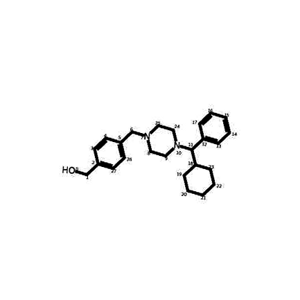 OCc1ccc(CN2CCN(C(c3ccccc3)C3CCCCC3)CC2)cc1